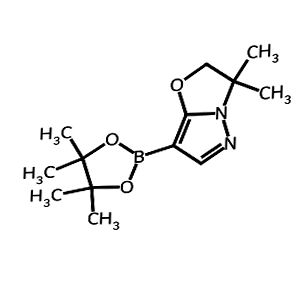 CC1(C)COc2c(B3OC(C)(C)C(C)(C)O3)cnn21